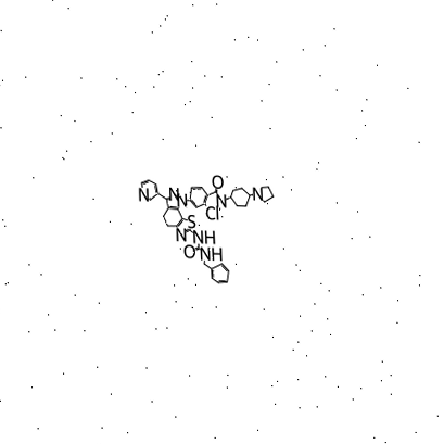 CN(C(=O)c1ccc(-n2nc(-c3cccnc3)c3c2-c2sc(NC(=O)NCc4ccccc4)nc2CC3)cc1Cl)[C@H]1CC[C@@H](N2CCCC2)CC1